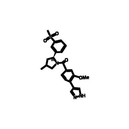 COc1cc(C(=O)N2CC(C)C[C@@H]2c2cccc(S(C)(=O)=O)c2)ccc1-c1cn[nH]c1